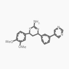 COc1ccc(C2CC(c3cccc(-c4cncnc4)c3)N=C(N)S2)cc1OC